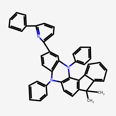 CC1(C)c2ccccc2-c2c1ccc1c2N(c2ccccc2)c2cc(-c3cccc(-c4ccccc4)n3)ccc2N1c1ccccc1